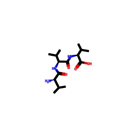 CC(C)[C@H](N)C(=O)N[C@H](C(=O)N[C@H](C(=O)O)C(C)C)C(C)C